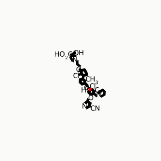 Cc1c(COc2cc(OCc3cncc(C#N)c3)c(CN3CCCC[C@H]3C(=O)O)cc2Cl)cccc1-c1cccc(OCCCN2CCC(CO)(C(=O)O)C2)c1Cl